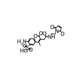 Cc1c(CC(=O)NCCN2C(=O)C=CC2=O)c(=O)oc2cc(N)c(S(=O)(=O)O)cc12